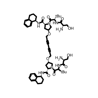 CC(C)(C)C(NC(=O)[C@@H](N)CO)C(=O)N1C[C@@H](OCC#CC#CCO[C@H]2C[C@@H](C(=O)N[C@@H]3CCCc4ccccc43)N(C(=O)[C@@H](NC(=O)[C@@H](N)CO)C(C)(C)C)C2)C[C@H]1C(=O)N[C@@H]1CCCc2ccccc21